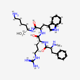 [2H]NC(Cc1ccccc1)C(=O)N[C@@H](CCCNC(=N)N)C(=O)NC(Cc1c[nH]c2ccccc12)C(=O)N[C@@H](CCCCN)C(=O)O